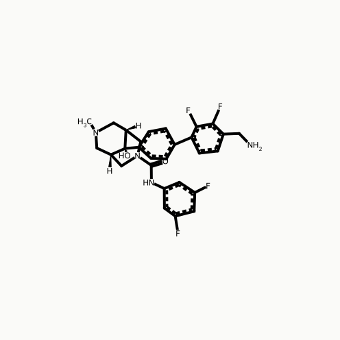 CN1C[C@@H]2CN(C(=O)Nc3cc(F)cc(F)c3)C[C@H](C1)[C@]2(O)c1ccc(-c2ccc(CN)c(F)c2F)cc1